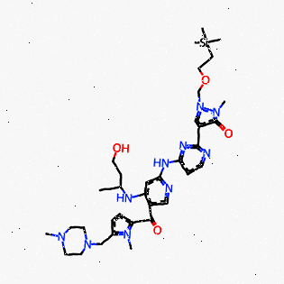 CC(CCO)Nc1cc(Nc2ccnc(-c3cn(COCC[Si](C)(C)C)n(C)c3=O)n2)ncc1C(=O)c1ccc(CN2CCN(C)CC2)n1C